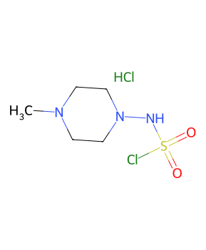 CN1CCN(NS(=O)(=O)Cl)CC1.Cl